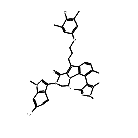 Cc1cc(OCCCc2c3n(c4c(-c5c(C)nn(C)c5C)c(Cl)ccc24)[C@H](C)CN(c2cn(C)c4cc(C(F)(F)F)ccc24)C3=O)cc(C)c1Cl